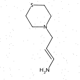 NC=CCN1CCSCC1